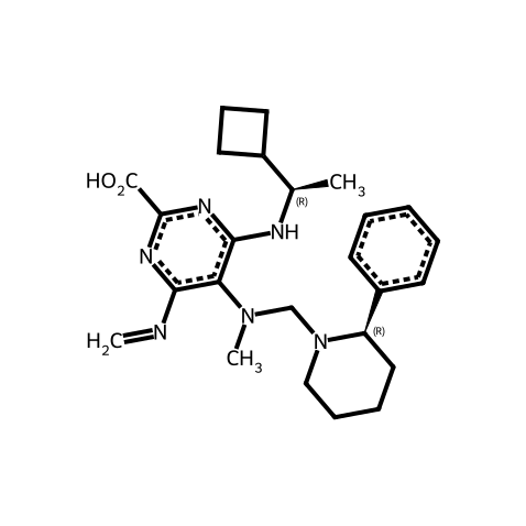 C=Nc1nc(C(=O)O)nc(N[C@H](C)C2CCC2)c1N(C)CN1CCCC[C@@H]1c1ccccc1